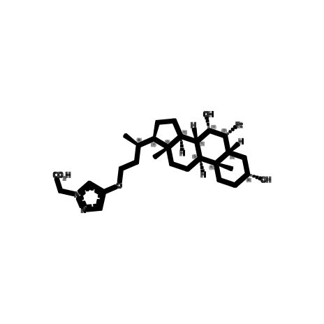 CC[C@H]1[C@@H](O)[C@@H]2[C@H](CC[C@]3(C)[C@@H]([C@H](C)CCOc4cnn(CC(=O)O)c4)CC[C@@H]23)[C@@]2(C)CC[C@@H](O)C[C@@H]12